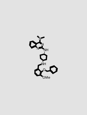 COc1cccc(CN[C@H]2CC[C@@H](Nc3nc(N(C)C)c4ccccc4n3)CC2)c1OCc1ccccc1